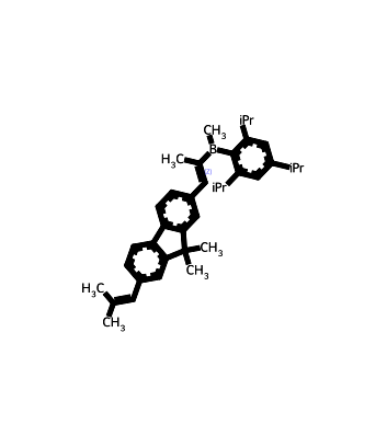 CB(/C(C)=C/c1ccc2c(c1)C(C)(C)c1cc(C=C(C)C)ccc1-2)c1c(C(C)C)cc(C(C)C)cc1C(C)C